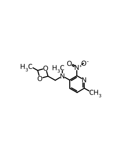 Cc1ccc(N(C)CC2OC(C)O2)c([N+](=O)[O-])n1